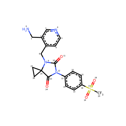 NCc1cnccc1CN1C(=O)N(c2ccc(S(=O)(=O)C(F)(F)F)cc2)C(=O)C12CC2